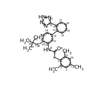 Cc1cc(C)c(CC(=O)Nc2cc(-c3ccccc3-c3nn[nH]n3)cnc2SC(C)(C)C)c(C)c1